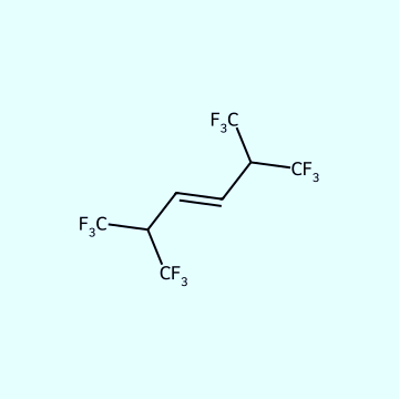 FC(F)(F)C(C=CC(C(F)(F)F)C(F)(F)F)C(F)(F)F